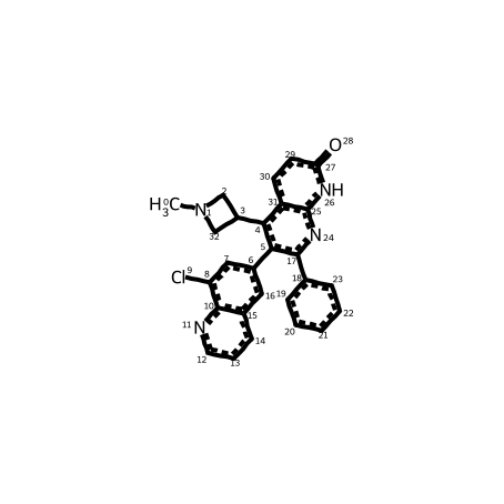 CN1CC(c2c(-c3cc(Cl)c4ncccc4c3)c(-c3ccccc3)nc3[nH]c(=O)ccc23)C1